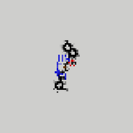 Cc1cccc(-c2n[nH]c(SCC(=O)Nc3cccc4ccccc34)n2)c1